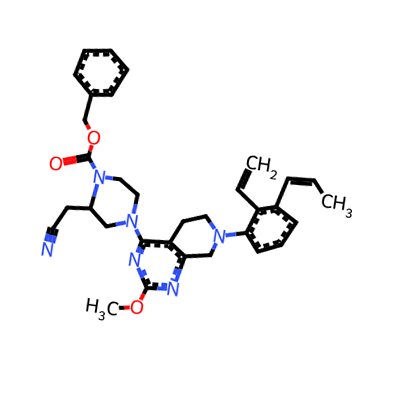 C=Cc1c(/C=C\C)cccc1N1CCc2c(nc(OC)nc2N2CCN(C(=O)OCc3ccccc3)C(CC#N)C2)C1